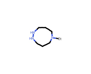 CCN1CCCNNCCC1